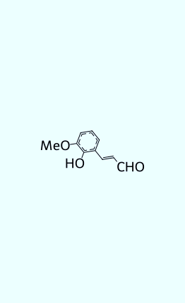 COc1cccc(/C=C/C=O)c1O